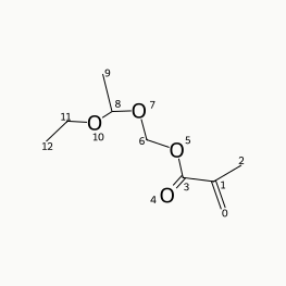 C=C(C)C(=O)OCOC(C)OCC